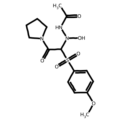 COc1ccc(S(=O)(=O)C(C(=O)N2CCCC2)N(O)NC(C)=O)cc1